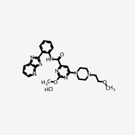 COCCN1CCN(c2cc(C(=O)Nc3ccccc3-c3nc4cccnc4s3)nc(OC)n2)CC1.Cl